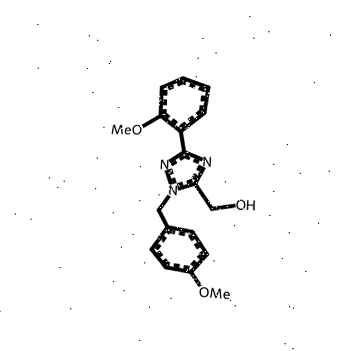 COc1ccc(Cn2nc(-c3ccccc3OC)nc2CO)cc1